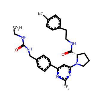 N#Cc1ccc(CCNC(=O)[C@@H]2CCCN2c2cc(-c3ccc(CNC(=O)NCS(=O)(=O)O)cc3)nc(C(F)(F)F)n2)cc1